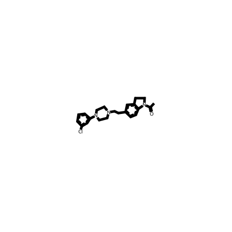 CC(=O)N1CCc2cc(CCN3CCN(c4cccc(Cl)c4)CC3)ccc21